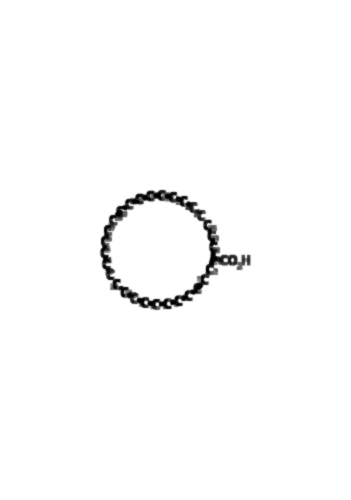 O=C(O)C1CCCCCCCCCCCCCCCCCCCCCCCCCCCCC1